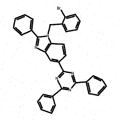 Brc1ccccc1Cn1c(-c2ccccc2)nc2cc(-c3nc(-c4ccccc4)nc(-c4ccccc4)n3)ccc21